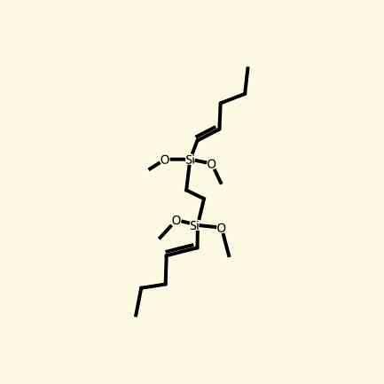 CCCC=C[Si](CC[Si](C=CCCC)(OC)OC)(OC)OC